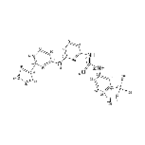 O=C(Nc1cccc(Oc2ccnc(-c3ccsc3)c2)c1)Nc1ccc(Cl)c(C(F)(F)F)c1